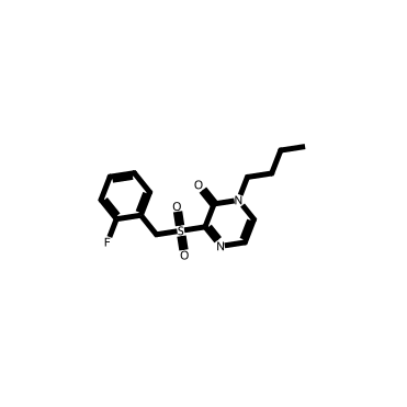 CCCCn1ccnc(S(=O)(=O)Cc2ccccc2F)c1=O